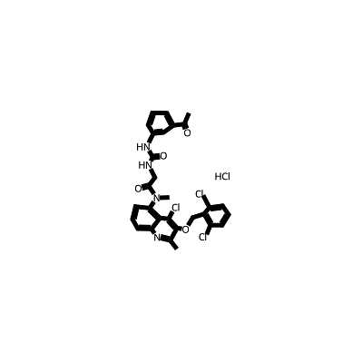 CC(=O)c1cccc(NC(=O)NCC(=O)N(C)c2cccc3nc(C)c(OCc4c(Cl)cccc4Cl)c(Cl)c23)c1.Cl